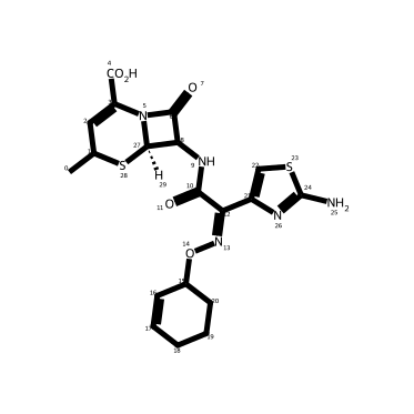 CC1C=C(C(=O)O)N2C(=O)C(NC(=O)/C(=N\OC3C=CCCC3)c3csc(N)n3)[C@H]2S1